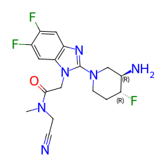 CN(CC#N)C(=O)Cn1c(N2CC[C@@H](F)[C@H](N)C2)nc2cc(F)c(F)cc21